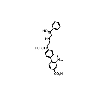 CN(C)c1cc(C(=O)O)ccc1-c1ccc(CCNC[C@@H](O)c2ccccc2)cc1.Cl.Cl